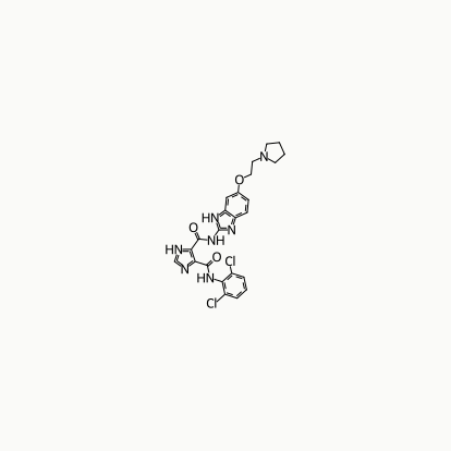 O=C(Nc1c(Cl)cccc1Cl)c1nc[nH]c1C(=O)Nc1nc2ccc(OCCN3CCCC3)cc2[nH]1